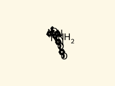 C=CC(=O)N1CCC[C@H]1c1nc(-c2ccc(OCc3ccc(OC)cc3)nc2)c2c(N)nccn12